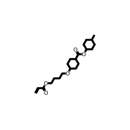 C=CC(=O)OCCCCOC1CCC(C(=O)OC2CCC(C)CC2)CC1